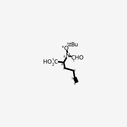 C#CCCC(C(=O)O)N(C=O)OC(C)(C)C